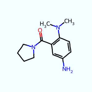 CN(C)c1ccc(N)cc1C(=O)N1CCCC1